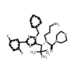 CC(C)(C)[C@H](c1nc(-c2cc(F)ccc2F)nn1Cc1ccccc1)N(CCCN)C(=O)N1CCOCC1